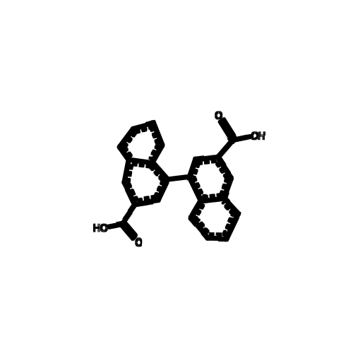 O=C(O)c1cc(-c2cc(C(=O)O)cc3ccccc23)c2ccccc2c1